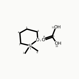 C[Si]1(C)CCCCO1.O=C(O)O